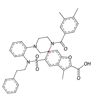 Cc1ccc(C(=O)N2CCN(c3ccccc3N(CCc3ccccc3)S(=O)(=O)c3ccc4oc(C(=O)O)c(C)c4c3)CC2)cc1C